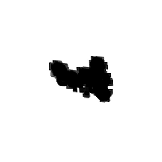 C[Si]1(C)c2ccccc2-c2ccc3c4ccccc4n(-c4ccc(-c5ccc6oc7ccccc7c6c5)cc4)c3c21